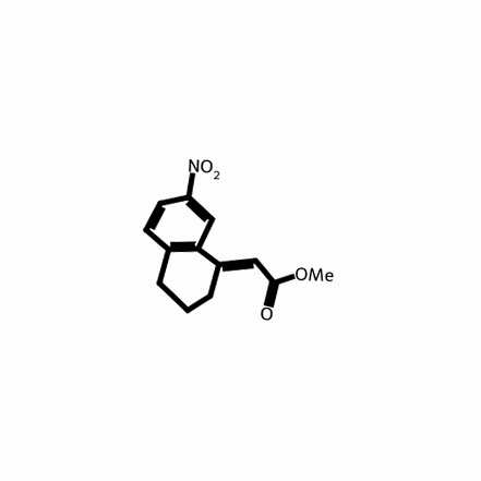 COC(=O)C=C1CCCc2ccc([N+](=O)[O-])cc21